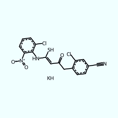 N#Cc1ccc(CC(=O)C=C(S)Nc2c(Cl)cccc2[N+](=O)[O-])c(Cl)c1.[KH]